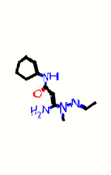 C/C=N/N(C)/C(N)=C/C(=O)NC1CCCCC1